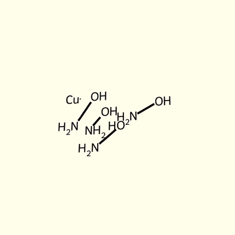 NO.NO.NO.NO.[Cu]